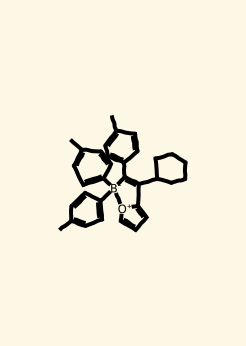 Cc1ccc(C2=C(C3CCCCC3)c3ccc[o+]3[B-]2(c2ccc(C)cc2)c2ccc(C)cc2)cc1